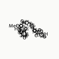 COc1cc(C(=O)N2CCC(CN3CCN(c4ccc5c(c4)C(=O)N(C4CCC(=O)NC4=O)C5=O)CC3)CC2)ccc1Nc1ncc2c(n1)N(C1CCCC1)CC(F)(F)C(=O)N2C